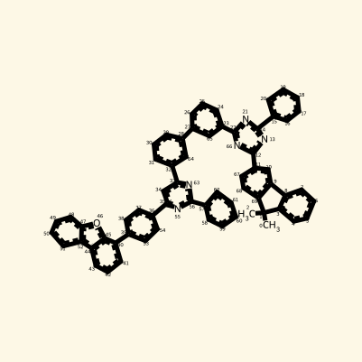 CC1(C)c2ccccc2-c2cc(-c3nc(-c4ccccc4)nc(-c4cccc(-c5cccc(-c6cc(-c7ccc(-c8cccc9c8oc8ccccc89)cc7)nc(-c7ccccc7)n6)c5)c4)n3)ccc21